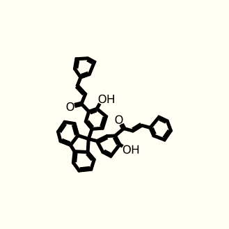 O=C(/C=C/c1ccccc1)c1cc(C2(c3ccc(O)c(C(=O)/C=C/c4ccccc4)c3)c3ccccc3-c3ccccc32)ccc1O